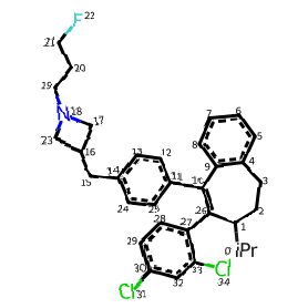 CC(C)C1CCc2ccccc2C(c2ccc(CC3CN(CCCF)C3)cc2)=C1c1ccc(Cl)cc1Cl